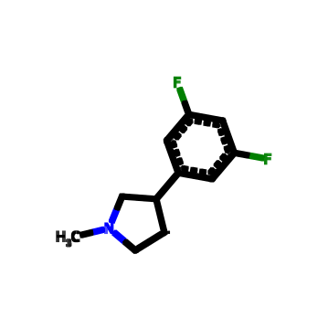 CN1C[CH]C(c2cc(F)cc(F)c2)C1